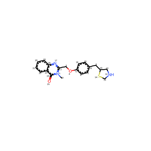 Cn1c(COc2ccc(CC3CNCS3)cc2)nc2ccccc2c1=O